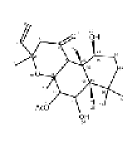 C=CC1(C)CC(=O)C2C(C)(O1)C(OC(C)=O)C(O)[C@H]1C(C)(C)CC[C@H](O)[C@@]21C